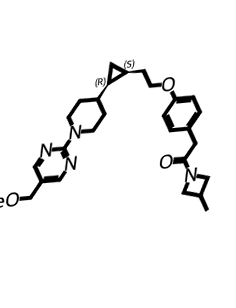 COCc1cnc(N2CCC([C@H]3C[C@H]3CCOc3ccc(CC(=O)N4CC(C)C4)cc3)CC2)nc1